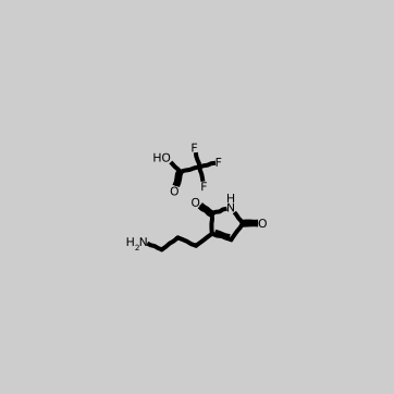 NCCCC1=CC(=O)NC1=O.O=C(O)C(F)(F)F